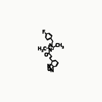 CC1CN(C(=O)C=Cc2cccc3nonc23)C(C)CN1Cc1ccc(F)cc1